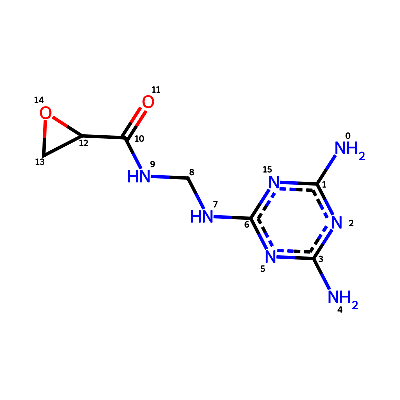 Nc1nc(N)nc(NCNC(=O)C2CO2)n1